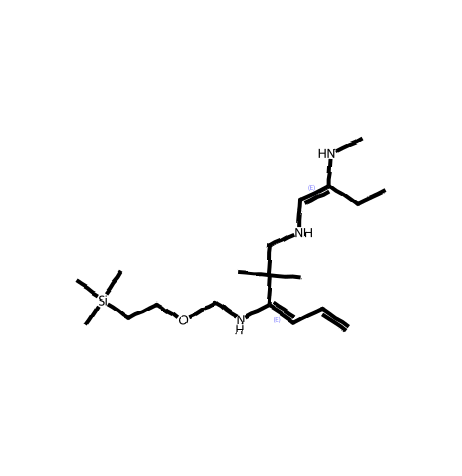 C=C/C=C(/NCOCC[Si](C)(C)C)C(C)(C)CN/C=C(\CC)NC